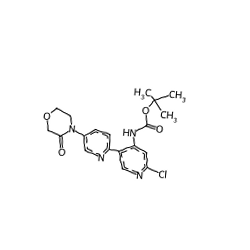 CC(C)(C)OC(=O)Nc1cc(Cl)ncc1-c1ccc(N2CCOCC2=O)cn1